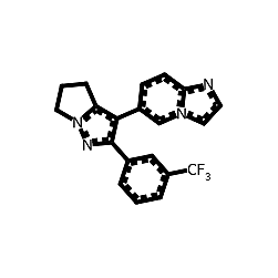 FC(F)(F)c1cccc(-c2nn3c(c2-c2ccc4nccn4c2)CCC3)c1